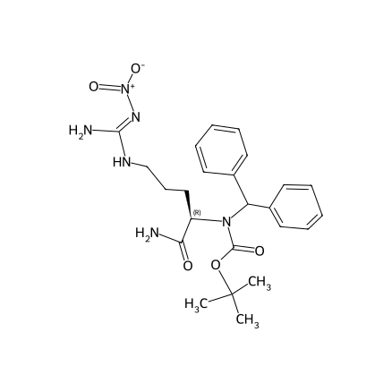 CC(C)(C)OC(=O)N(C(c1ccccc1)c1ccccc1)[C@H](CCCNC(N)=N[N+](=O)[O-])C(N)=O